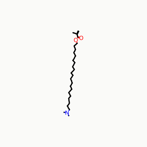 C=C(C)C(=O)OCCCCCCCCCCCCCCCCCCCCCN(C)C